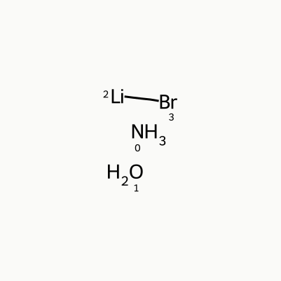 N.O.[Li][Br]